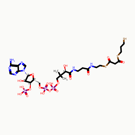 CC(C)(COP(=O)(O)OP(=O)(O)OC[C@H]1O[C@@H](n2cnc3c(N)ncnc32)[C@H](O)[C@@H]1OP(=O)(O)O)[C@@H](O)C(=O)NCCC(=O)NCCSC(=O)CC(=O)SCCCS